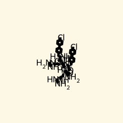 N=C(N)NCCC[C@H](NC(=O)[C@H](Cc1ccc(-c2ccc(Cl)cc2)cc1)NC(=O)[C@H](CCCNC(=N)N)NC(=O)[C@H](N)Cc1ccc(-c2ccc(Cl)cc2)cc1)C(N)=O